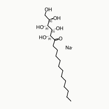 CCCCCCCCCCCCC(=O)[C@H](O)[C@@H](O)[C@H](O)[C@H](O)CO.[Na]